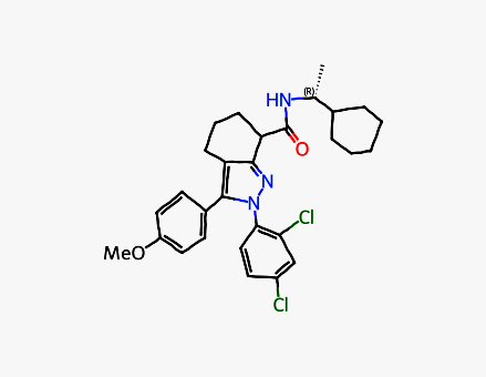 COc1ccc(-c2c3c(nn2-c2ccc(Cl)cc2Cl)C(C(=O)N[C@H](C)C2CCCCC2)CCC3)cc1